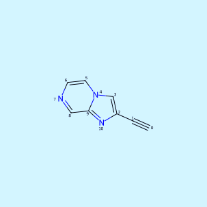 C#Cc1cn2ccncc2n1